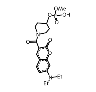 CCN(CC)c1ccc2cc(C(=O)N3CCC(OP(=O)(O)OC)CC3)c(=O)oc2c1